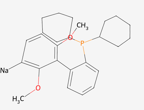 COc1cc[c]([Na])c(OC)c1-c1ccccc1P(C1CCCCC1)C1CCCCC1